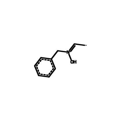 [CH2]C=[N+](O)Cc1ccccc1